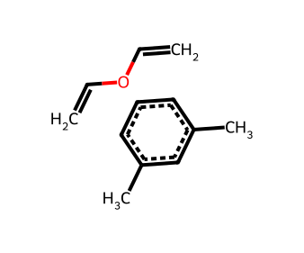 C=COC=C.Cc1cccc(C)c1